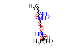 CCCCCC(N)C(=O)NCCOCCOCCNC(=O)OC(C)(C)C